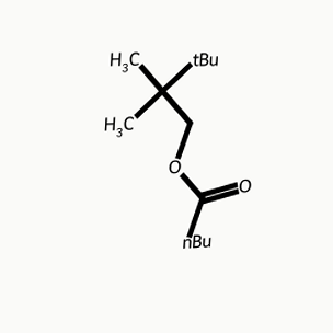 CCCCC(=O)OCC(C)(C)C(C)(C)C